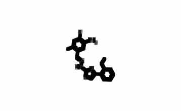 CCc1ccccc1-c1csc(N/N=C/c2cc(P)c(F)cc2C)n1